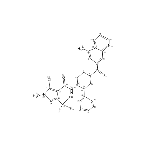 Cc1cc(C(=O)N2CC[C@@H](NC(=O)c3c(C(F)(F)F)nn(C)c3Cl)[C@@H](c3ccccc3)C2)cc2nccnc12